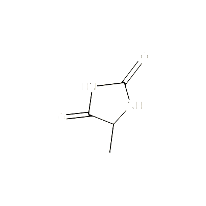 C[C]1NC(=O)NC1=O